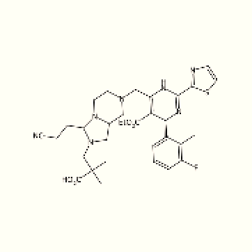 CCOC(=O)C1=C(CN2CCN3C(C2)CN(CC(C)(C)C(=O)O)C3CCC#N)NC(c2nccs2)=N[C@H]1c1cccc(F)c1C